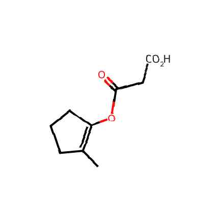 CC1=C(OC(=O)CC(=O)O)CCC1